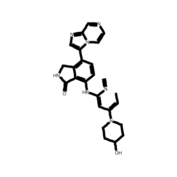 C=N/C(=C\C(=C/C)N1CCC(O)CC1)Nc1ccc(-c2cnc3cnccn23)c2c1C(=O)NC2